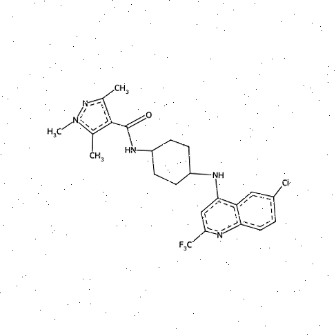 Cc1nn(C)c(C)c1C(=O)NC1CCC(Nc2cc(C(F)(F)F)nc3ccc(Cl)cc23)CC1